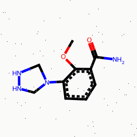 COc1c(C(N)=O)cccc1N1CNNC1